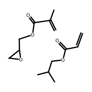 C=C(C)C(=O)OCC1CO1.C=CC(=O)OCC(C)C